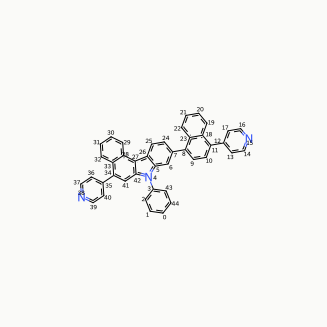 c1ccc(-n2c3cc(-c4ccc(-c5ccncc5)c5ccccc45)ccc3c3c4ccccc4c(-c4ccncc4)cc32)cc1